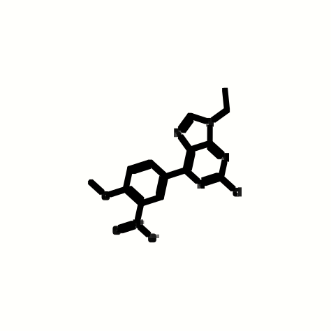 CCn1cnc2c(-c3ccc(OC)c([N+](=O)[O-])c3)nc(Cl)nc21